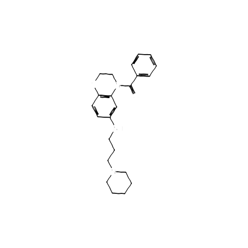 O=C(c1ccccc1)N1CCSc2ccc(NCCCN3CCCCC3)cc21